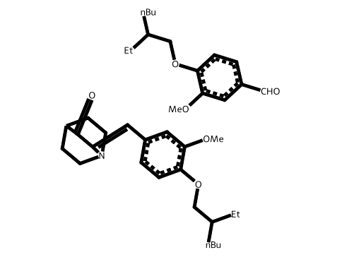 CCCCC(CC)COc1ccc(C=C2C(=O)C3CCN2CC3)cc1OC.CCCCC(CC)COc1ccc(C=O)cc1OC